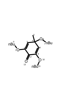 CCCCOC1=CC(C)(OCCCC)C=C(OCCCC)C1=O